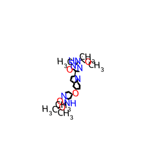 COC[C@@H](C)Nc1ncc(-c2ccc3cc(Oc4ccnc(NC(=O)OC(C)(C)C)c4)ccc3n2)c(=O)n1C